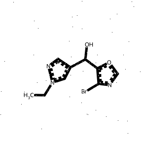 CCn1cc(C(O)c2ocnc2Br)cn1